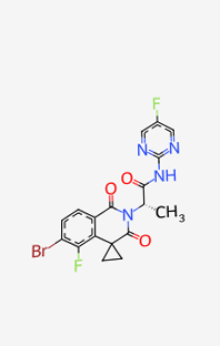 C[C@@H](C(=O)Nc1ncc(F)cn1)N1C(=O)c2ccc(Br)c(F)c2C2(CC2)C1=O